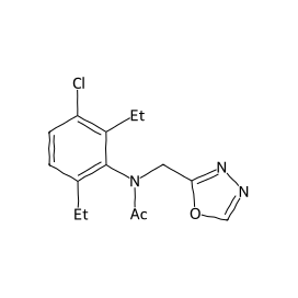 CCc1ccc(Cl)c(CC)c1N(Cc1nnco1)C(C)=O